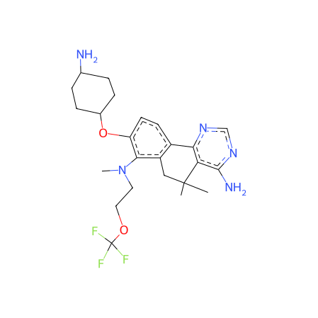 CN(CCOC(F)(F)F)c1c(OC2CCC(N)CC2)ccc2c1CC(C)(C)c1c(N)ncnc1-2